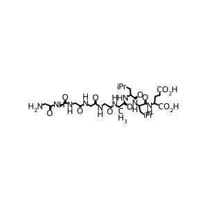 CC(C)CC(NC(=O)C(C)NC(=O)CNC(=O)CNC(=O)CNC(=O)CNC(=O)CN)C(=O)NC(CC(C)C)C(=O)NC(CCC(=O)O)C(=O)O